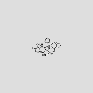 C=CC(=O)N1CCC[C@@H]1COc1cnccc1-c1[nH]c2c(c1Nc1cccc(F)c1C)C(=O)NCC2